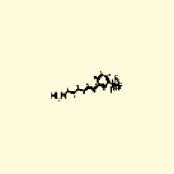 NCCCCCCc1cccc(C(F)(F)F)c1